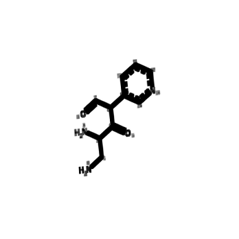 NCC(N)C(=O)C([C]=O)c1cccnc1